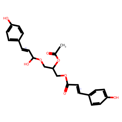 CC(=O)OC(COC(=O)/C=C/c1ccc(O)cc1)COC(O)/C=C/c1ccc(O)cc1